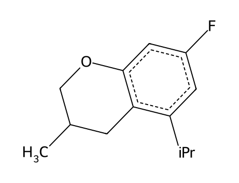 CC1COc2cc(F)cc(C(C)C)c2C1